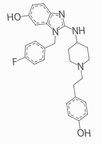 Oc1ccc(CCN2CCC(Nc3nc4ccc(O)cc4n3Cc3ccc(F)cc3)CC2)cc1